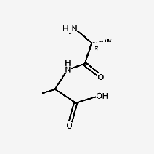 CC(NC(=O)[C@@H](C)N)C(=O)O